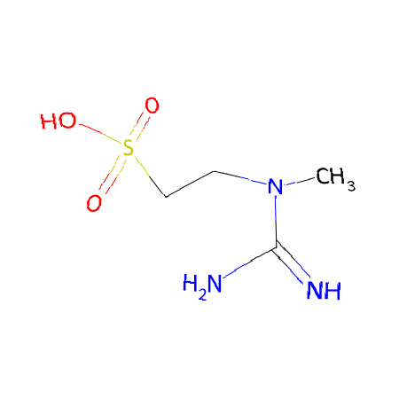 CN(CCS(=O)(=O)O)C(=N)N